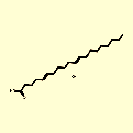 CCCCCC=CCC=CCC=CCC=CCCCC(=O)O.[KH]